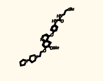 COc1cc2c(Oc3ccc(NC(=O)NCCC(C)(C)C)cc3)ccnc2cc1OCCN1CCC(N2CCCC2)CC1